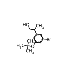 C[C](CO)c1cc(Br)cc(OC(C)(C)C)c1